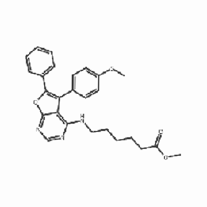 COC(=O)CCCCCNc1ncnc2oc(-c3ccccc3)c(-c3ccc(SC)cc3)c12